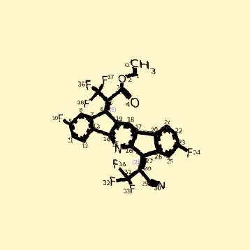 CCOC(=O)/C(=C1/c2cc(F)ccc2-c2nc3c(cc21)-c1ccc(F)cc1/C3=C(\C#N)C(F)(F)F)C(F)(F)F